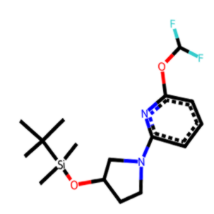 CC(C)(C)[Si](C)(C)OC1CCN(c2cccc(OC(F)F)n2)C1